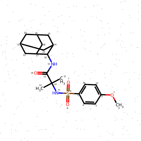 COc1ccc(S(=O)(=O)NC(C)(C)C(=O)NC2C3CC4CC(C3)CC2C4)cc1